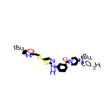 CC(C)(C)c1cnc(CSc2cnc(N[C@H]3CCC[C@@H](C(=O)N4CCC(N(C(=O)O)C(C)(C)C)CC4)C3)s2)o1